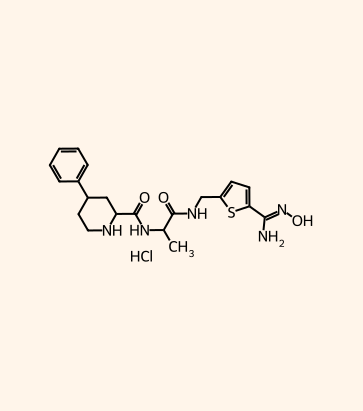 CC(NC(=O)C1CC(c2ccccc2)CCN1)C(=O)NCc1ccc(/C(N)=N/O)s1.Cl